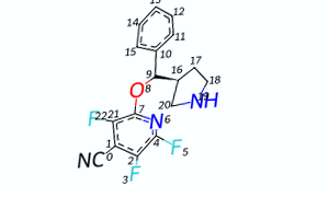 N#Cc1c(F)c(F)nc(OC(c2ccccc2)[C@H]2CCNC2)c1F